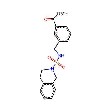 COC(=O)c1cccc(CNS(=O)(=O)N2CCc3ccccc3C2)c1